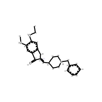 CCOc1cc2c(cc1OC)C(=O)/C(=C/C1CCN(Cc3ccccc3)CC1)C2